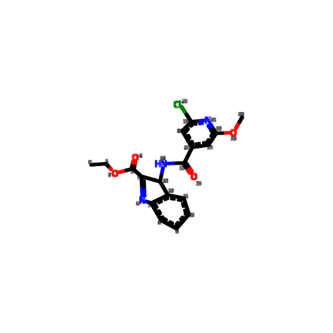 CCOC(=O)C1=Nc2ccccc2C1NC(=O)c1cc(Cl)nc(OC)c1